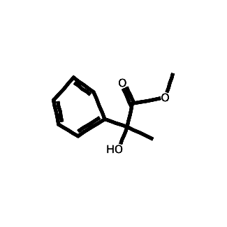 COC(=O)C(C)(O)c1ccccc1